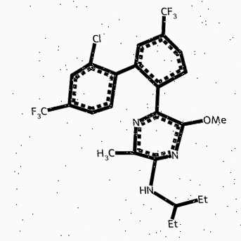 CCC(CC)Nc1nc(OC)c(-c2ccc(C(F)(F)F)cc2-c2ccc(C(F)(F)F)cc2Cl)nc1C